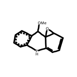 COC1c2ccccc2PC2=CC=CC3OC231